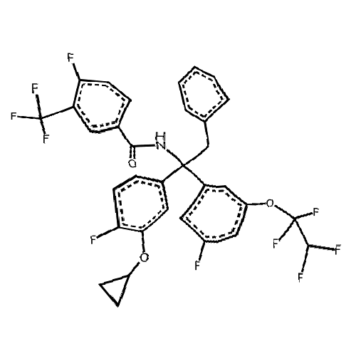 O=C(NC(Cc1ccccc1)(c1cc(F)cc(OC(F)(F)C(F)F)c1)c1ccc(F)c(OC2CC2)c1)c1ccc(F)c(C(F)(F)F)c1